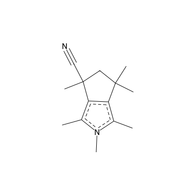 Cc1c2c(c(C)n1C)C(C)(C#N)CC2(C)C